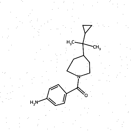 CC(C)(C1CC1)C1CCN(C(=O)c2ccc(N)cc2)CC1